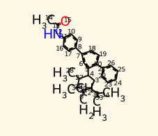 C=CC(CC(c1cc(-c2ccc(NC(C)=O)cc2)ccc1-c1ccccc1)C(C)C(C)C)C(C)C